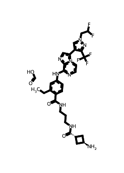 CCc1cc(Nc2nccn3c(-c4cn(CC(F)F)nc4C(F)(F)F)cnc23)ccc1C(=O)NCCCNC(=O)[C@H]1C[C@H](N)C1.O=CO